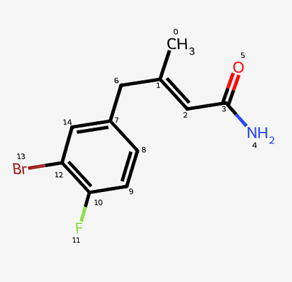 CC(=CC(N)=O)Cc1ccc(F)c(Br)c1